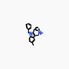 Cc1ccc2c(c1)c1c(n2Cc2ccccc2)CCCN(C)C1